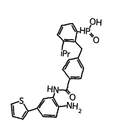 CC(C)c1cccc([PH](=O)O)c1Cc1ccc(C(=O)Nc2cc(-c3cccs3)ccc2N)cc1